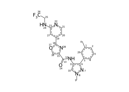 Cc1cccc(-c2nn(C)cc2NC(=O)c2coc(-c3ccnc(NCC(F)(F)F)c3)n2)c1